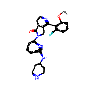 COc1cccc(F)c1-c1nccc2c1CN(c1cccc(NC3CCNCC3)n1)C2=O